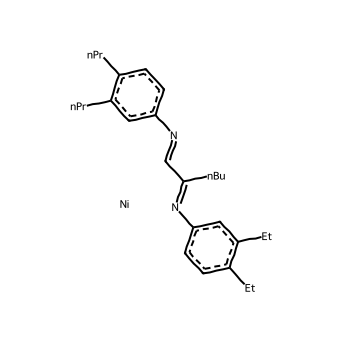 CCCCC(/C=N/c1ccc(CCC)c(CCC)c1)=N\c1ccc(CC)c(CC)c1.[Ni]